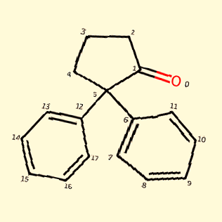 O=C1CCCC1(c1ccccc1)c1ccccc1